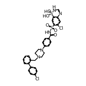 O=C(NS(=O)(=O)c1cc2c(cc1Cl)N=CNS2(O)O)c1ccc(N2CCN(Cc3ccccc3-c3ccc(Cl)cc3)CC2)cc1